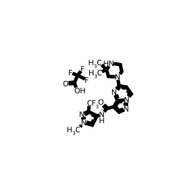 Cn1cc(NC(=O)c2cnn3ccc(N4CCNC(C)(C)C4)nc23)c(C(F)(F)F)n1.O=C(O)C(F)(F)F